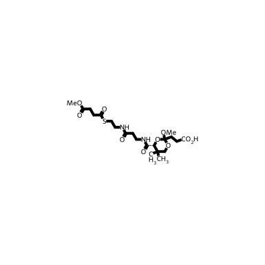 COC(=O)CCC(=O)SCCNC(=O)CCNC(=O)[C@@H]1OC(CCC(=O)O)(OC)OCC1(C)C